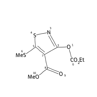 CCOC(=O)Oc1nsc(SC)c1C(=O)OC